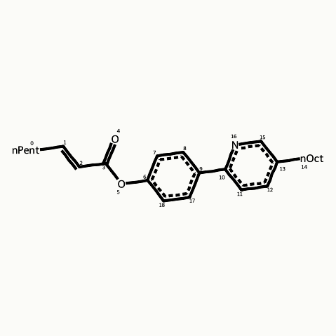 CCCCC/C=C/C(=O)Oc1ccc(-c2ccc(CCCCCCCC)cn2)cc1